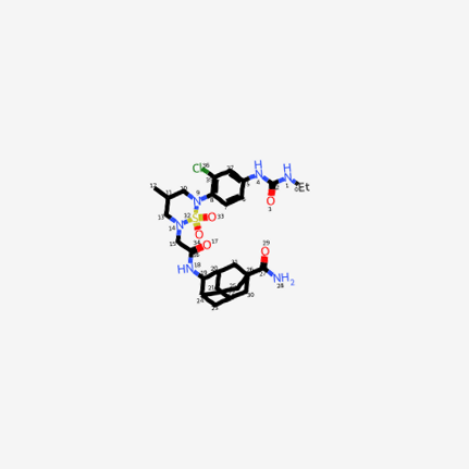 CCNC(=O)Nc1ccc(N2CC(C)CN(CC(=O)NC3C4CC5CC3CC(C(N)=O)(C5)C4)S2(=O)=O)c(Cl)c1